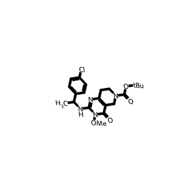 COn1c(NC(C)c2ccc(Cl)cc2)nc2c(c1=O)CN(C(=O)OC(C)(C)C)CC2